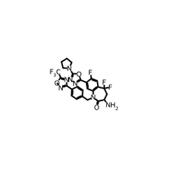 NC1CC(F)(F)c2cc(F)c(-c3nnc(N4CCCC4)o3)cc2N(Cc2ccc(-c3noc(C(F)(F)F)n3)cc2)C1=O